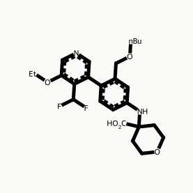 CCCCOCc1cc(NC2(C(=O)O)CCOCC2)ccc1-c1cncc(OCC)c1C(F)F